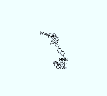 C=C(C)[C@H](NC(=O)OC)C(=O)N1CCC[C@H]1c1ncc(-c2ccc(-c3ccc4cc(-c5cnc([C@@H]6CCCN6C(=O)[C@@H](NC(=O)OC)C(C)C)[nH]5)ccc4c3)cc2)[nH]1